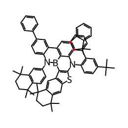 CC(C)(C)c1ccc(N2c3sc4cc5c(cc4c3B3c4c(cc6c(c42)C(C)(C)c2ccccc2-6)-c2cc(-c4ccccc4)ccc2N3c2ccc3c(c2)C(C)(C)CCC3(C)C)C(C)(C)CCC5(C)C)c(-c2ccccc2)c1